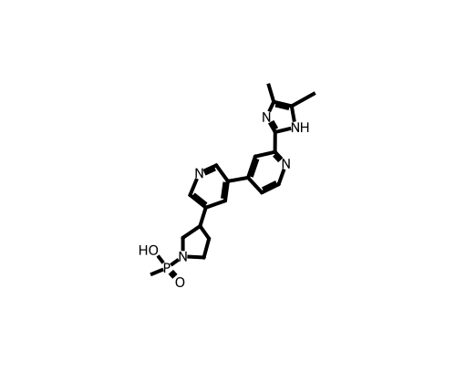 Cc1nc(-c2cc(-c3cncc(C4CCN(P(C)(=O)O)C4)c3)ccn2)[nH]c1C